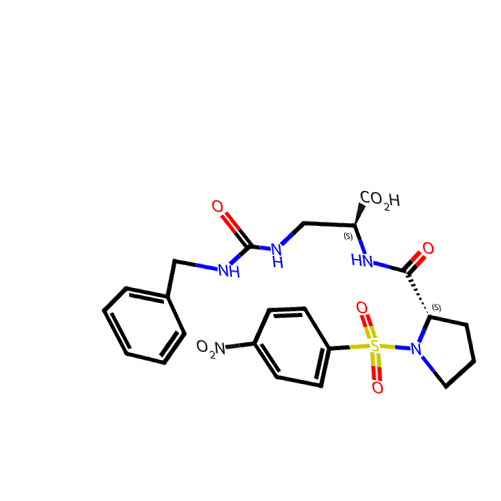 O=C(NCc1ccccc1)NC[C@H](NC(=O)[C@@H]1CCCN1S(=O)(=O)c1ccc([N+](=O)[O-])cc1)C(=O)O